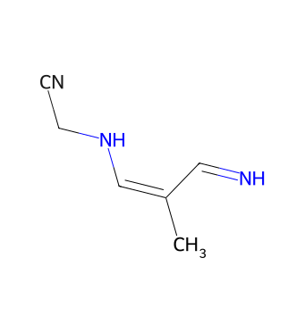 C/C(C=N)=C/NCC#N